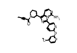 CC#CC(=O)N1CCCC(c2nc(-c3ccc(Oc4cc(OC)ccn4)nc3)n3c(N)nccc23)C1